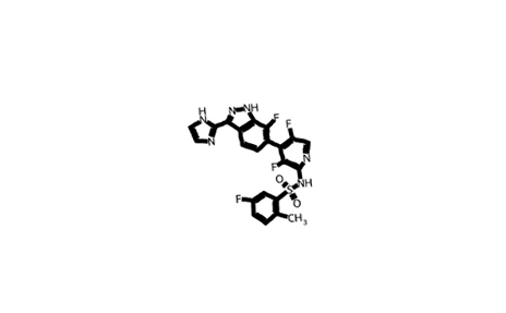 Cc1ccc(F)cc1S(=O)(=O)Nc1ncc(F)c(-c2ccc3c(-c4ncc[nH]4)n[nH]c3c2F)c1F